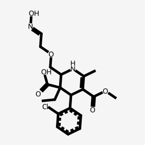 CCC1(C(=O)O)C(COCC=NO)NC(C)=C(C(=O)OC)C1c1ccccc1Cl